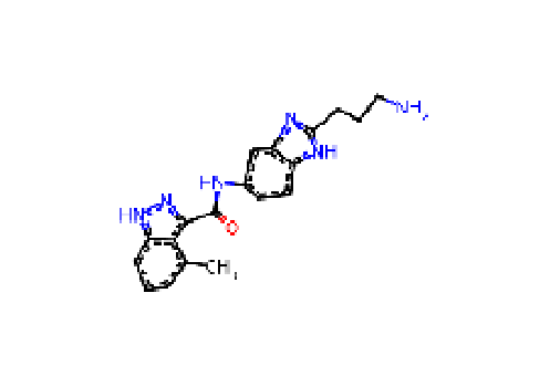 Cc1cccc2[nH]nc(C(=O)Nc3ccc4[nH]c(CCCN)nc4c3)c12